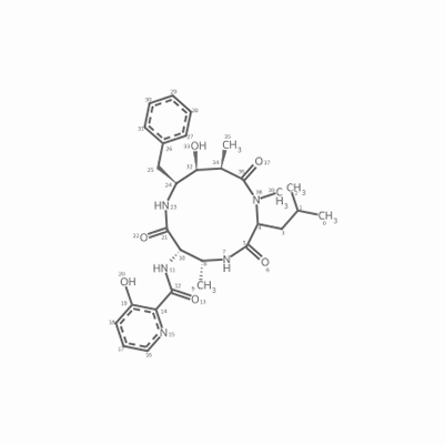 CC(C)CC1C(=O)N[C@H](C)[C@H](NC(=O)c2ncccc2O)C(=O)N[C@@H](Cc2ccccc2)[C@@H](O)[C@@H](C)C(=O)N1C